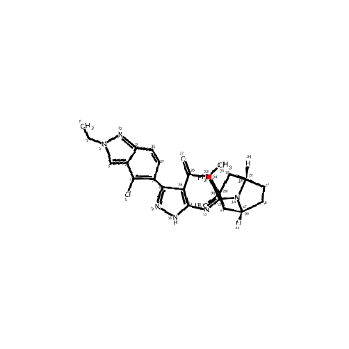 CCn1cc2c(Cl)c(-c3n[nH]c4nc(N5[C@@H]6CC[C@H]5C[C@@](C)(N)C6)n(C)c(=O)c34)ccc2n1